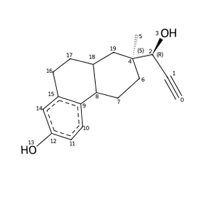 C#C[C@H](O)[C@@]1(C)CCC2c3ccc(O)cc3CCC2C1